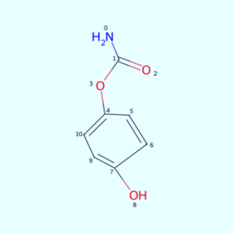 NC(=O)Oc1ccc(O)cc1